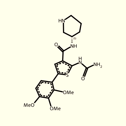 COc1ccc(-c2cc(C(=O)N[C@H]3CCCNC3)c(NC(N)=O)s2)c(OC)c1OC